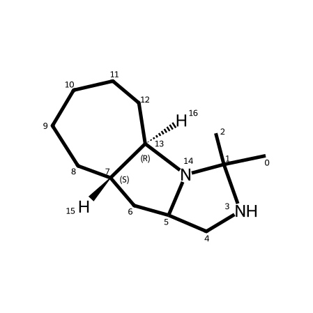 CC1(C)NCC2C[C@@H]3CCCCC[C@H]3N21